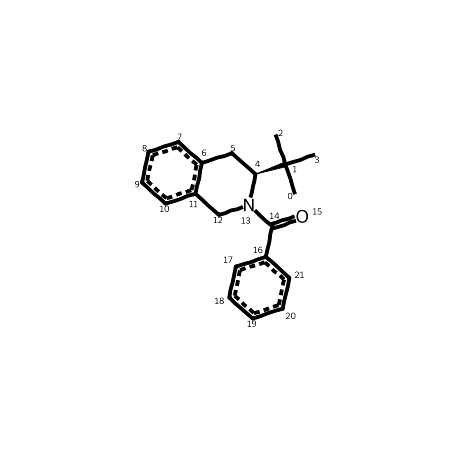 CC(C)(C)[C@@H]1Cc2ccccc2CN1C(=O)c1ccccc1